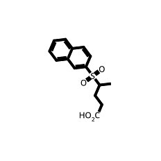 CC(CCC(=O)O)S(=O)(=O)c1ccc2ccccc2c1